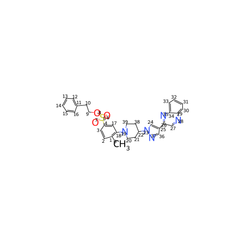 Cc1ccc(S(=O)(=O)OCCc2ccccc2)cc1N1CCC(n2cc(-c3cnc4ccccc4n3)cn2)CC1